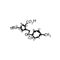 Cc1ccc(P(C)(=O)Cc2cc(C(C)(C)C)sc2C(=O)O)cc1